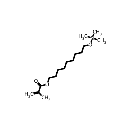 C=C(C)C(=O)OCCCCCCCCCO[Si](C)(C)C